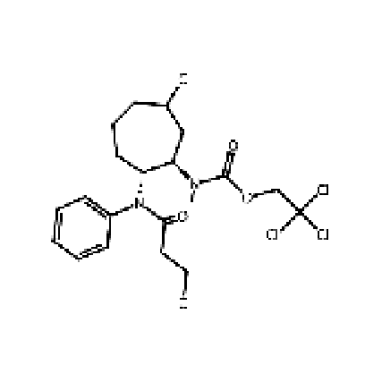 CN(C(=O)OCC(Cl)(Cl)Cl)[C@@H]1CC(Cl)CCC[C@H]1N(C(=O)CCCl)c1ccccc1